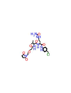 CC(C)[C@@H](NC(=O)CCOCCN1C(=O)C=CC1=O)C(=O)N[C@@H](CCCNC(N)=O)C(=O)Nc1ccc(CCl)cc1